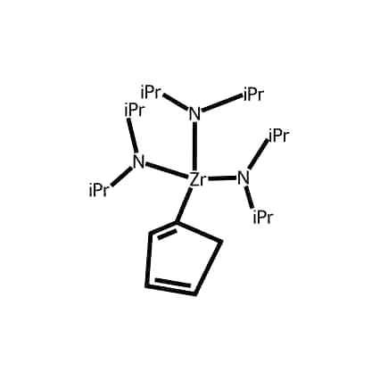 CC(C)[N](C(C)C)[Zr]([C]1=CC=CC1)([N](C(C)C)C(C)C)[N](C(C)C)C(C)C